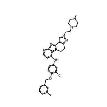 CN1CCN(CCn2cc3c(n2)CCc2c-3sc3ncnc(Nc4ccc(OCc5cccc(F)c5)c(Cl)c4)c23)CC1